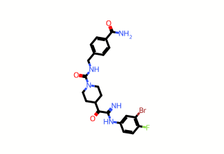 N=C(Nc1ccc(F)c(Br)c1)C(=O)C1CCN(C(=O)NCc2ccc(C(N)=O)cc2)CC1